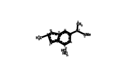 CNN(C)c1ccc2nc(C)sc2c1.Cl.Cl